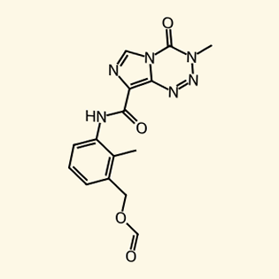 Cc1c(COC=O)cccc1NC(=O)c1ncn2c(=O)n(C)nnc12